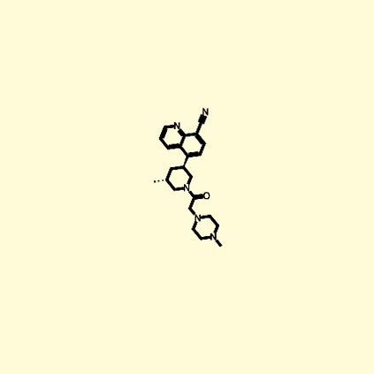 C[C@@H]1C[C@@H](c2ccc(C#N)c3ncccc23)CN(C(=O)CN2CCN(C)CC2)C1